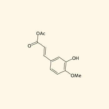 COc1ccc(C=CC(=O)OC(C)=O)cc1O